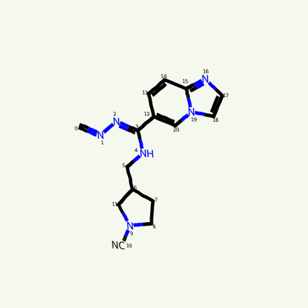 C=N/N=C(\NCC1CCN(C#N)C1)c1ccc2nccn2c1